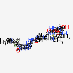 Cc1ncsc1-c1ccc([C@H](C)NC(=O)[C@@H]2C[C@@H](O)CN2C(=O)[C@@H](NC(=O)CCC(=O)NCCCN(C)[C@@H]2C[C@@H]3CN(CC(=O)NCCCNc4cc(N5CCC6(CC5)CN(c5cc(F)c(CN7CCC(C)(C)CC7)cc5F)CC(=O)N6)ncn4)C[C@@H]3C2)C(C)(C)C)cc1